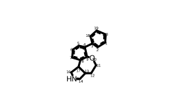 c1ccc(-c2cccc3c2OCCC2CNCC32)cc1